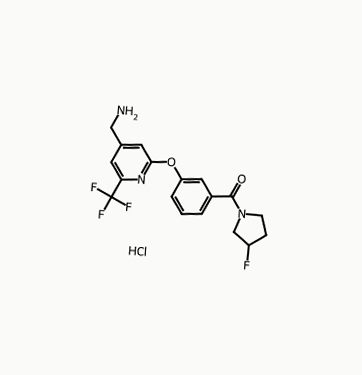 Cl.NCc1cc(Oc2cccc(C(=O)N3CCC(F)C3)c2)nc(C(F)(F)F)c1